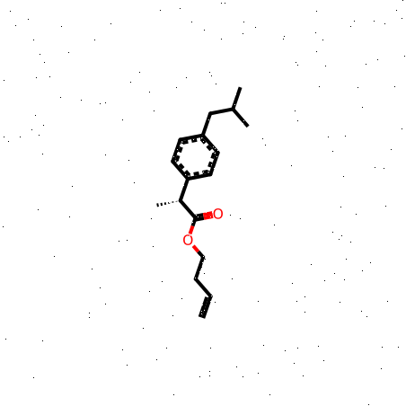 C=CCCOC(=O)[C@H](C)c1ccc(CC(C)C)cc1